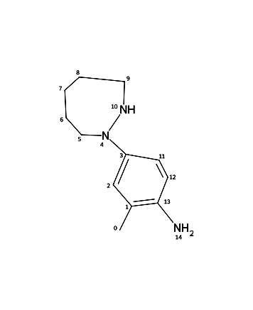 Cc1cc(N2CCCCCN2)ccc1N